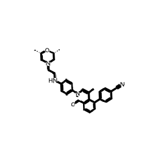 C/C(=C/N(C)c1ccc(NCCN2C[C@@H](C)O[C@@H](C)C2)cc1)c1c(C=O)cccc1-c1ccc(C#N)cc1